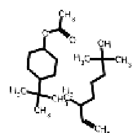 C=CC(C)CCCC(C)(C)O.CC(=O)OC1CCC(C(C)(C)C)CC1